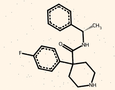 C[C@H](NC(=O)C1(c2ccc(F)cc2)CCNCC1)c1ccccc1